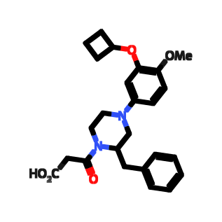 COc1ccc(N2CCN(C(=O)CC(=O)O)C(Cc3ccccc3)C2)cc1OC1CCC1